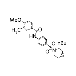 CCCCC1CSCCN1S(=O)(=O)c1ccc(NC(=O)c2ccc(OC)c(C)c2)cc1